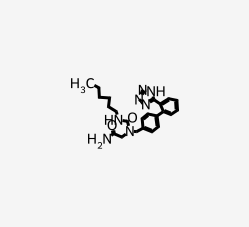 CCCCCCNC(=O)N(CC(N)=O)Cc1ccc(-c2ccccc2-c2nnn[nH]2)cc1